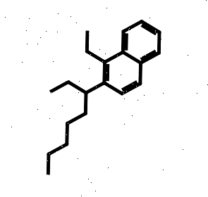 CCCCCC(CC)c1ccc2ccccc2c1CC